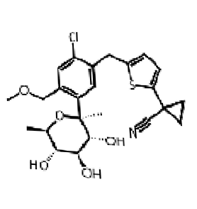 COCc1cc(Cl)c(Cc2ccc(C3(C#N)CC3)s2)cc1[C@]1(C)O[C@H](C)[C@@H](O)[C@H](O)[C@H]1O